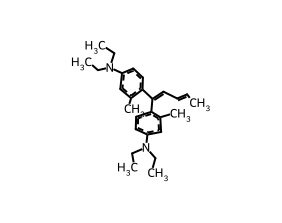 CC=CC=C(c1ccc(N(CC)CC)cc1C)c1ccc(N(CC)CC)cc1C